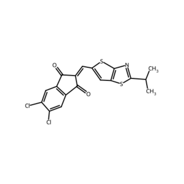 CC(C)c1nc2sc(C=C3C(=O)c4cc(Cl)c(Cl)cc4C3=O)cc2s1